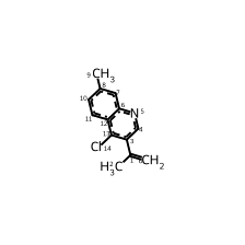 C=C(C)c1cnc2cc(C)ccc2c1Cl